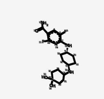 NC(=O)c1cc(F)c(N[C@H]2CC[C@H](NC3CCS(O)(O)CC3)CC2)nc1F